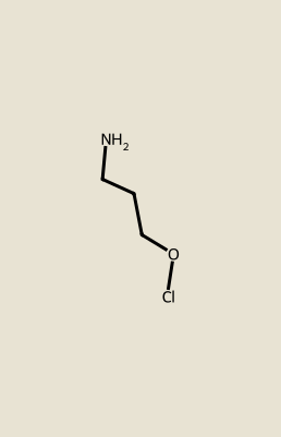 NCCCOCl